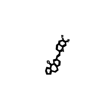 O=C1c2ccccc2CCc2ccc(/C=C/c3ccc4cc(F)c(F)cc4n3)cc21